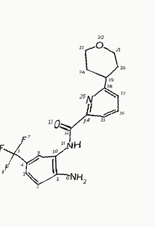 Nc1ccc(C(F)(F)F)cc1NC(=O)c1cccc(C2CCOCC2)n1